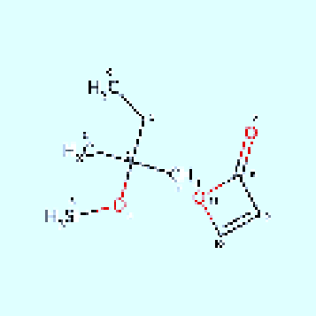 CCC(C)(C)O[SiH3].O=C1C=CO1